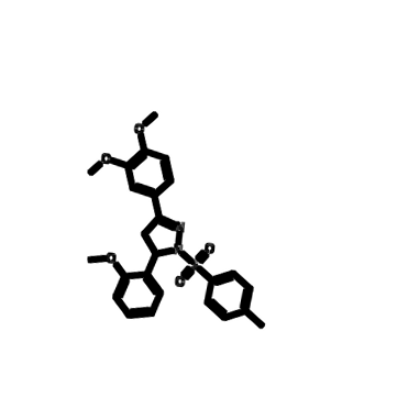 COc1ccc(C2=NN(S(=O)(=O)c3ccc(C)cc3)C(c3ccccc3OC)C2)cc1OC